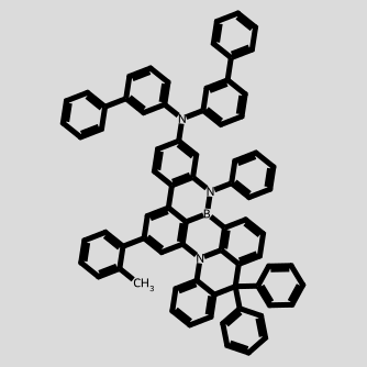 Cc1ccccc1-c1cc2c3c(c1)N1c4ccccc4C(c4ccccc4)(c4ccccc4)c4cccc(c41)B3N(c1ccccc1)c1cc(N(c3cccc(-c4ccccc4)c3)c3cccc(-c4ccccc4)c3)ccc1-2